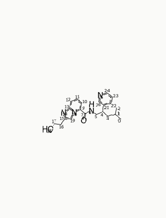 CC(C)CC(CNC(=O)c1cccc2nc(CCO)cn12)c1cccnc1